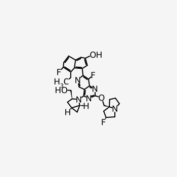 CCc1c(F)ccc2cc(O)cc(-c3ncc4c(N5[C@H](CO)C[C@H]6C[C@H]65)nc(OC[C@@]56CCCN5C[C@H](F)C6)nc4c3F)c12